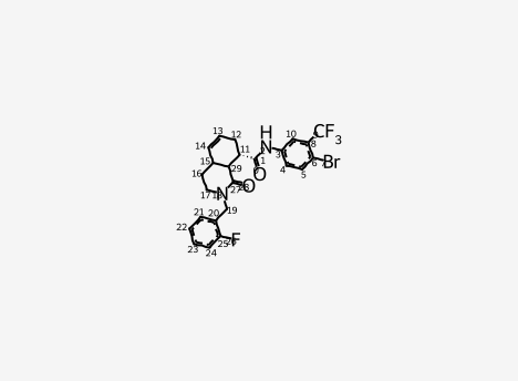 O=C(Nc1ccc(Br)c(C(F)(F)F)c1)[C@H]1CC=CC2CCN(Cc3ccccc3F)C(=O)C21